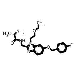 CCOCCn1c(CNC(=O)[C@H](C)N)nc2ccc(OCc3ccc(F)cc3)cc21